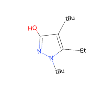 CCc1c(C(C)(C)C)c(O)nn1C(C)(C)C